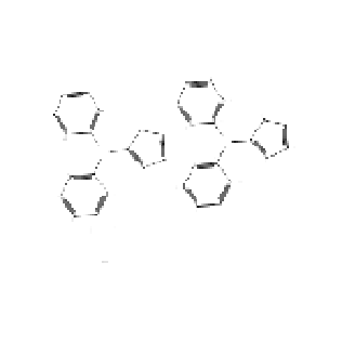 C1=CCC(P(c2ccccc2)c2ccccc2)=C1.C1=CCC(P(c2ccccc2)c2ccccc2)=C1.Cl.Cl.[Pd]